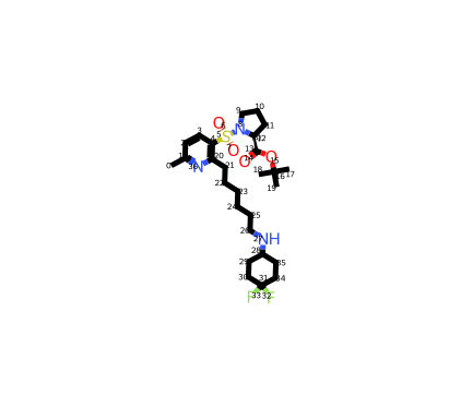 Cc1ccc(S(=O)(=O)N2CCC[C@H]2C(=O)OC(C)(C)C)c(CCCCCCNC2CCC(F)(F)CC2)n1